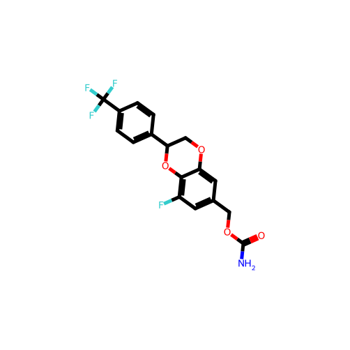 NC(=O)OCc1cc(F)c2c(c1)OCC(c1ccc(C(F)(F)F)cc1)O2